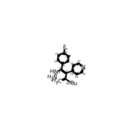 C=C(/C(=C(\NN)c1ccc(F)cc1)c1ccncc1)C(C)CC